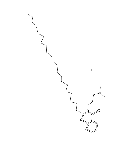 CCCCCCCCCCCCCCCCCCCCCc1nc2ccccc2c(=O)n1CCCN(C)C.Cl